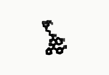 CCN(CC)CCCNC(=O)C1CNCCN1C(=O)N(c1ccccc1)c1cccc(Cl)c1